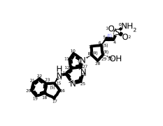 NS(=O)(=O)/C=C/[C@@H]1C[C@@H](n2ccc3c(N[C@H]4CCc5ccccc54)ncnc32)C[C@H]1O